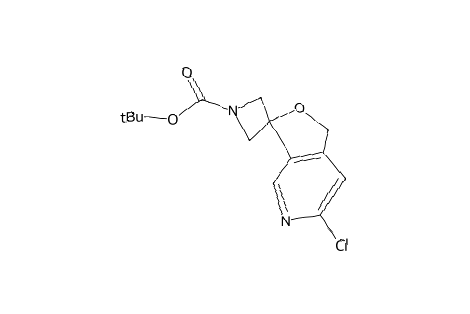 CC(C)(C)OC(=O)N1CC2(C1)OCc1cc(Cl)ncc12